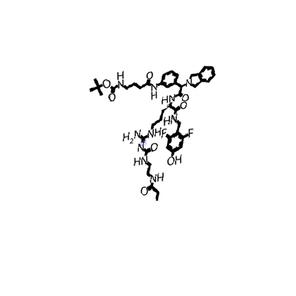 CCC(=O)NCCNC(=O)/N=C(/N)NCCC[C@@H](NC(=O)C(c1cccc(NC(=O)CCCNC(=O)OC(C)(C)C)c1)N1Cc2ccccc2C1)C(=O)NCc1c(F)cc(O)cc1F